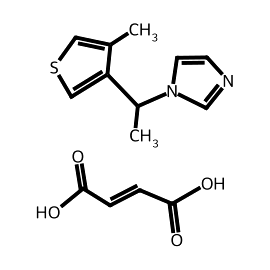 Cc1cscc1C(C)n1ccnc1.O=C(O)C=CC(=O)O